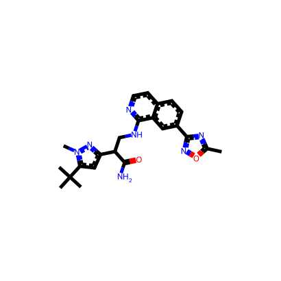 Cc1nc(-c2ccc3ccnc(NCC(C(N)=O)c4cc(C(C)(C)C)n(C)n4)c3c2)no1